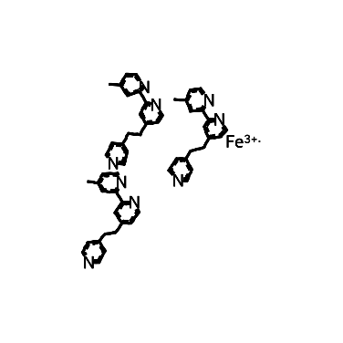 Cc1ccnc(-c2cc(CCc3ccncc3)ccn2)c1.Cc1ccnc(-c2cc(CCc3ccncc3)ccn2)c1.Cc1ccnc(-c2cc(CCc3ccncc3)ccn2)c1.[Fe+3]